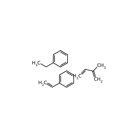 C=CC(=C)C.C=Cc1ccccc1.CCc1ccccc1